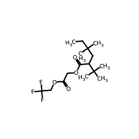 CCC(C)(C)CC(C(=O)OCC(=O)OCC(F)(F)F)C(C)(C)C